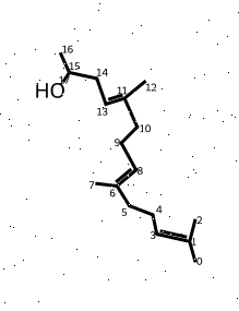 CC(C)=CCCC(C)=CCCC(C)=CCC(C)O